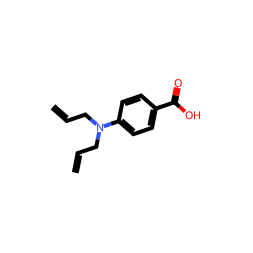 C=CCN(CC=C)c1ccc(C(=O)O)cc1